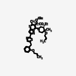 C=CCOc1ccccc1Cc1cnc(-c2cc3nc(C)c([C@H](OC(C)(C)C)C(=O)OCC)c(N4CCC(C)(OCC=C)CC4)n3n2)s1